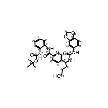 CC(C)(C)OC(=O)Nc1ccccc1NC(=O)c1ccc(C(CCCO)NC(=O)Nc2ccc3c(c2)OCO3)cn1